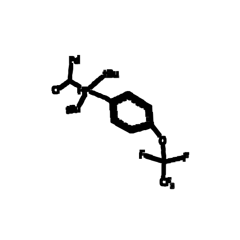 CC(C)(C)[PH](c1ccc(OC(F)(F)C(F)(F)F)cc1)([CH](Cl)[Pd])C(C)(C)C